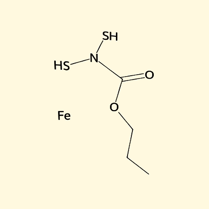 CCCOC(=O)N(S)S.[Fe]